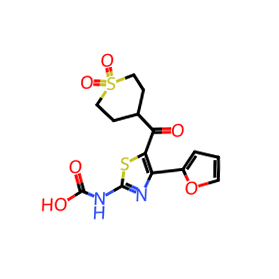 O=C(O)Nc1nc(-c2ccco2)c(C(=O)C2CCS(=O)(=O)CC2)s1